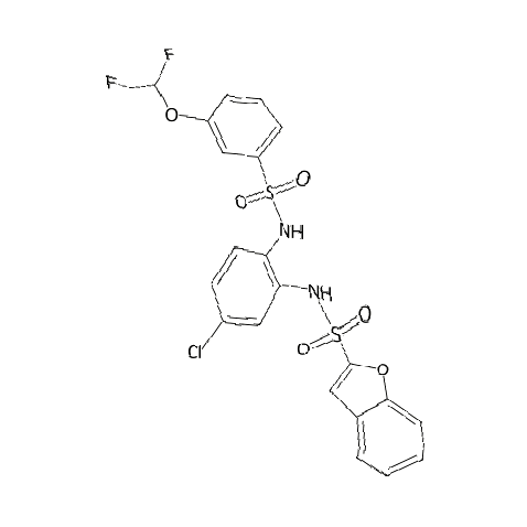 O=S(=O)(Nc1ccc(Cl)cc1NS(=O)(=O)c1cc2ccccc2o1)c1cccc(OC(F)F)c1